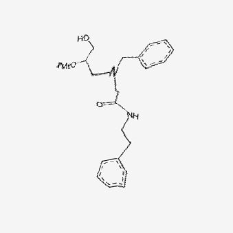 COC(CO)CN(CC(=O)NCCc1ccccc1)Cc1ccccc1